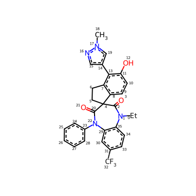 CCN1C(=O)C2(CCc3c2ccc(O)c3-c2cnn(C)c2)C(=O)N(c2ccccc2)c2cc(C(F)(F)F)ccc21